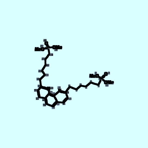 COP(=O)(CCCCCCc1ccc2ccc3ccc(CCCCCCP(=O)(OC)OC)nc3c2n1)OC